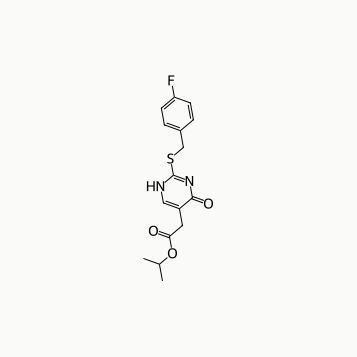 CC(C)OC(=O)Cc1c[nH]c(SCc2ccc(F)cc2)nc1=O